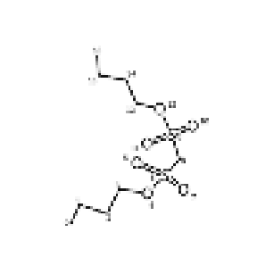 CCCCOS(=O)(=O)CS(=O)(=O)OCCCC